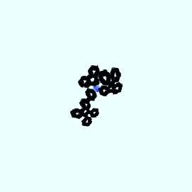 c1ccc(-c2c(-c3ccccc3)c3cc(-c4ccc(N(c5ccc6c(c5)C(c5ccccc5)(c5ccccc5)c5ccccc5-6)c5cc6ccccc6c6ccccc56)cc4)ccc3c3ccccc23)cc1